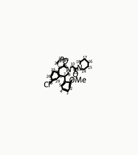 COc1ccccc1C1CN(CC(=O)N2CCCCC2)C(=O)[C@@H](CC(C)C)c2ccc(Cl)cc21